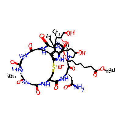 CC[C@H](C)[C@@H]1NC(=O)CNC(=O)C2Cc3c4[nH]c5cc(ccc35)OC(CCCCCC(=O)OC(C)(C)C)(C(=O)[C@H](CC(N)=O)NC(=O)C(C[S@@+]4[O-])NC(=O)CNC1=O)N1CC(O)C[C@H]1C(=O)N[C@@H]([C@@H](C)[C@@H](O)CO)C(=O)N2